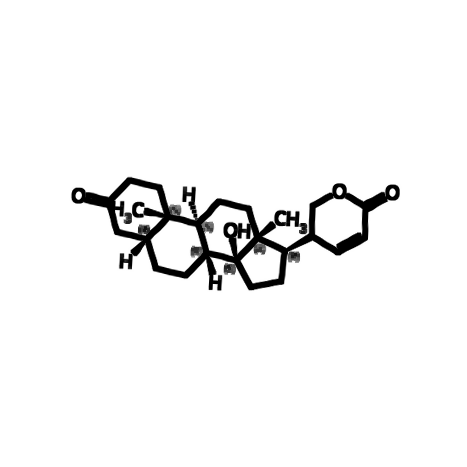 C[C@]12CCC(=O)C[C@H]1CC[C@@H]1[C@@H]2CC[C@]2(C)[C@@H](C3C=CC(=O)OC3)CC[C@]12O